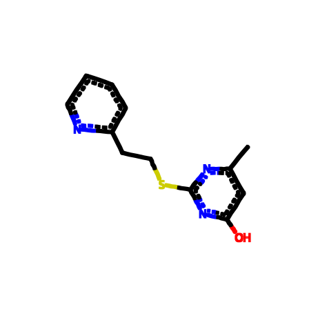 Cc1cc(O)nc(SCCc2ccccn2)n1